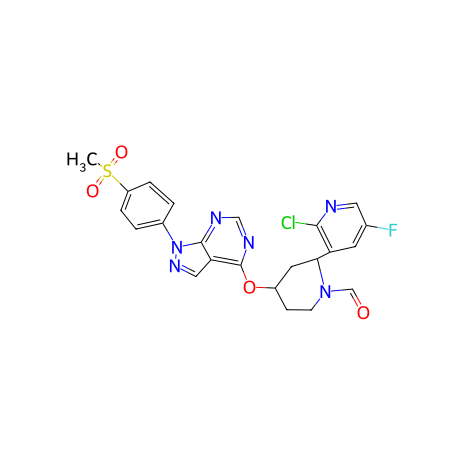 CS(=O)(=O)c1ccc(-n2ncc3c(OC4CCN(C=O)C(c5cc(F)cnc5Cl)C4)ncnc32)cc1